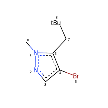 Cn1ncc(Br)c1CC(C)(C)C